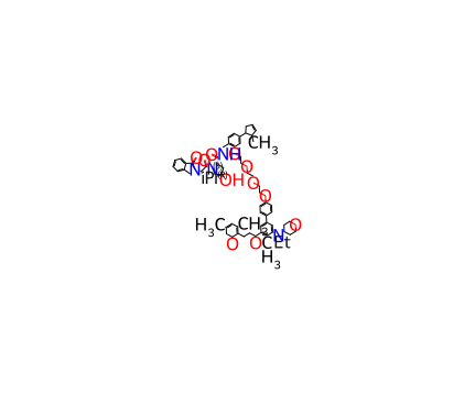 CCN(c1cc(-c2ccc(OCCOCCOCCOc3cc(C4CC=CC4C)ccc3CNC(=O)[C@@H]3C[C@@H](O)CN3C(=O)C(C(C)C)N3Cc4ccccc4C3=O)cc2)cc(C(=O)CCC2=C(C)C=C(C)CC2=O)c1C)C1CCOCC1